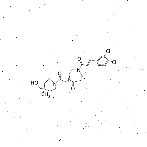 CC1(CO)CCN(C(=O)CN2CCN(C(=O)C=Cc3ccc(Cl)c(Cl)c3)CCC2=O)CC1